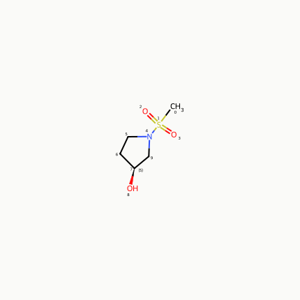 CS(=O)(=O)N1CC[C@H](O)C1